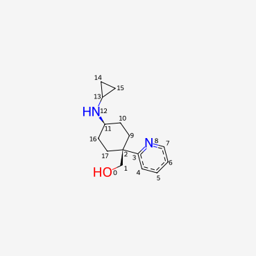 OC[C@]1(c2ccccn2)CC[C@H](NC2CC2)CC1